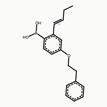 CC/C=C/c1cc(OCCc2ccccc2)ccc1B(O)O